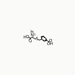 N[C@@H](CSCc1cccc(C(=O)O)c1)C(=O)O